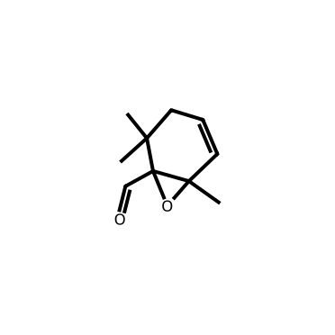 CC1(C)CC=CC2(C)OC12C=O